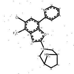 FC(F)(F)c1c(Cl)cc(-c2ccccn2)c2oc(N3CC4CCC(C3)N4)nc12